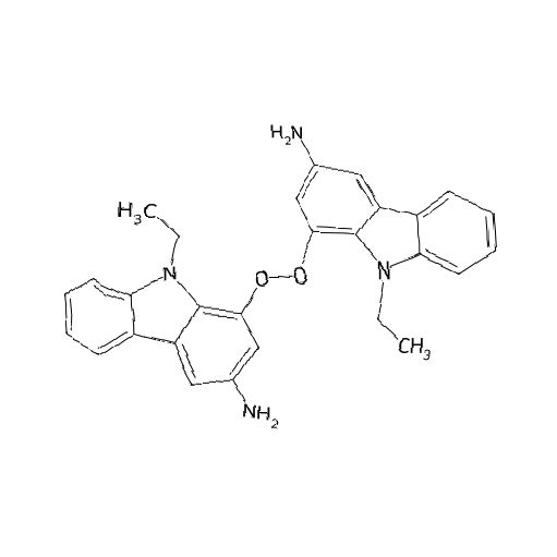 CCn1c2ccccc2c2cc(N)cc(OOc3cc(N)cc4c5ccccc5n(CC)c34)c21